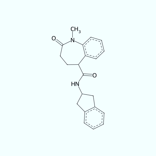 CN1C(=O)CCC(C(=O)NC2Cc3ccccc3C2)c2ccccc21